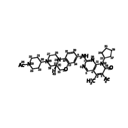 CC(=O)c1c(C)c2cnc(Nc3ccc4c(c3)OC[C@@H]3CN(C5CCN(C(C)=O)CC5)CCN43)nc2n(C2CCCC2)c1=O